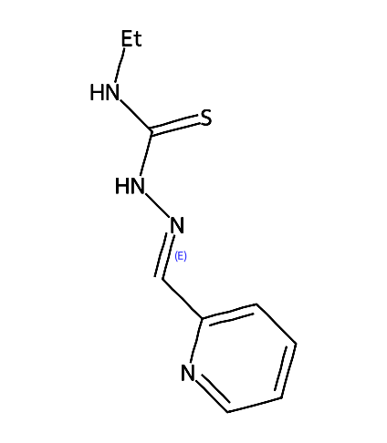 CCNC(=S)N/N=C/c1ccccn1